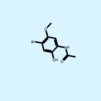 COc1cc(NC(C)=O)c(O)cc1Br